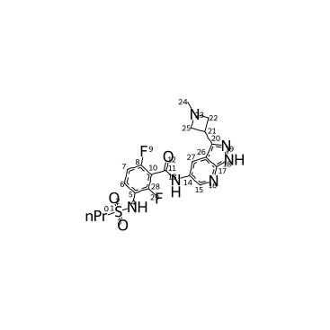 CCCS(=O)(=O)Nc1ccc(F)c(C(=O)Nc2cnc3[nH]nc(C4CN(C)C4)c3c2)c1F